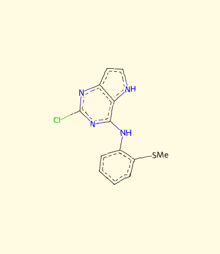 CSc1ccccc1Nc1nc(Cl)nc2cc[nH]c12